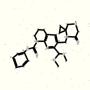 COC(OC)c1nc2c(cc1CN1C(=O)COCC13CC3)CCCN2C(=O)Oc1ccccc1